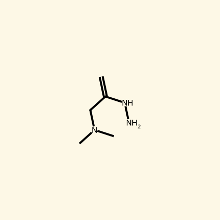 C=C(CN(C)C)NN